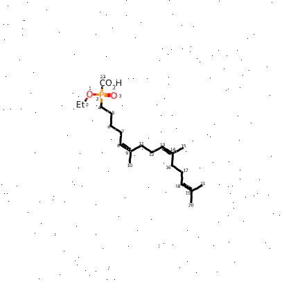 CCOP(=O)(CCCCC=C(C)CCC=C(C)CCC=C(C)C)C(=O)O